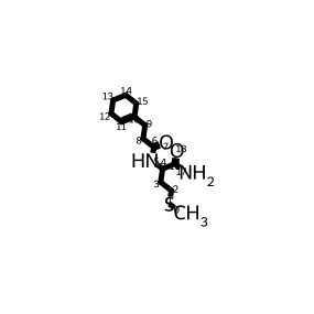 CSCCC(NC(=O)CCC1=CCCCC1)C(N)=O